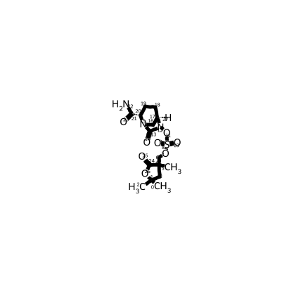 CC1(C)CC(C)(COS(=O)(=O)ON2C(=O)N3C[C@H]2CC[C@H]3C(N)=O)C(=O)O1